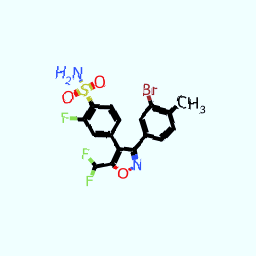 Cc1ccc(-c2noc(C(F)F)c2-c2ccc(S(N)(=O)=O)c(F)c2)cc1Br